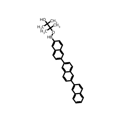 CC(C)(O)C(C)(C)OBc1ccc2cc(-c3ccc4cc(-c5ccc6ccccc6c5)ccc4c3)ccc2c1